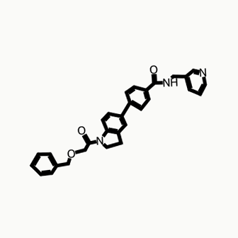 O=C(NCc1cccnc1)c1ccc(-c2ccc3c(c2)CCN3C(=O)COCc2ccccc2)cc1